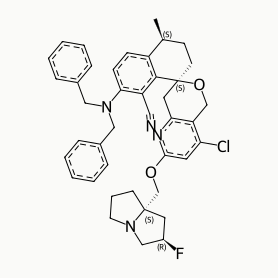 C[C@H]1CC[C@]2(Cc3nc(OC[C@@]45CCCN4C[C@H](F)C5)cc(Cl)c3CO2)c2c1ccc(N(Cc1ccccc1)Cc1ccccc1)c2C#N